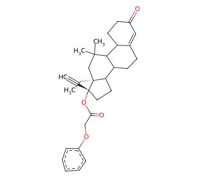 C#C[C@]1(OC(=O)COc2ccccc2)CCC2C3CCC4=CC(=O)CCC4C3C(C)(C)C[C@@]21CC